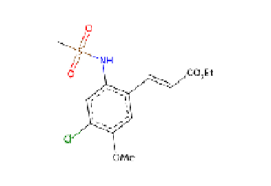 CCOC(=O)C=Cc1cc(OC)c(Cl)cc1NS(C)(=O)=O